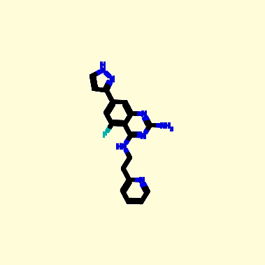 Nc1nc(NCCc2ccccn2)c2c(F)cc(-c3cc[nH]n3)cc2n1